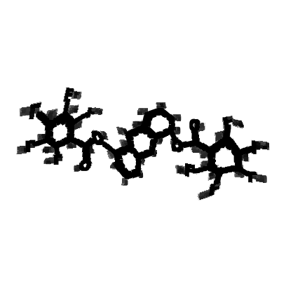 O=C(Oc1cccc2cc3c(OC(=O)c4c(F)c(F)c(F)c(F)c4F)cccc3cc12)c1c(F)c(F)c(F)c(F)c1F